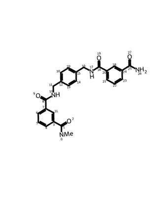 CNC(=O)c1cccc(C(=O)NCc2ccc(CNC(=O)c3cccc(C(N)=O)c3)cc2)c1